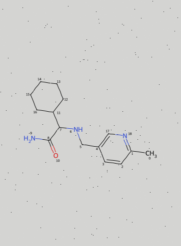 Cc1ccc(CNC(C(N)=O)C2CCCCC2)cn1